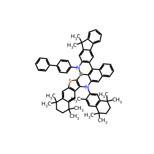 Cc1cc2c(cc1N1c3cc4ccccc4c4c3B(c3sc5cc6c(cc5c31)C(C)(C)CCC6(C)C)N(c1ccc(-c3ccccc3)cc1)c1cc3c(cc1-4)-c1ccccc1C3(C)C)C(C)(C)CCC2(C)C